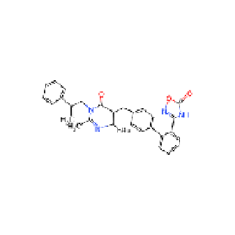 CCCCc1nc(C)n(CC(C)c2ccccc2)c(=O)c1Cc1ccc(-c2ccccc2-c2noc(=O)[nH]2)cc1